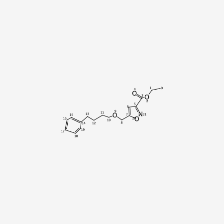 CCOC(=O)c1cc(COCCCCc2ccccc2)on1